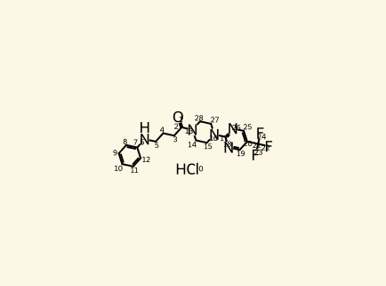 Cl.O=C(CCCNc1ccccc1)N1CCN(c2ncc(C(F)(F)F)cn2)CC1